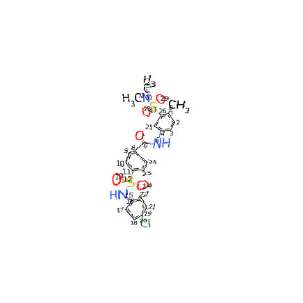 Cc1ccc(NC(=O)c2ccc(S(=O)(=O)Nc3ccc(Cl)cc3)cc2)cc1S(=O)(=O)N(C)C